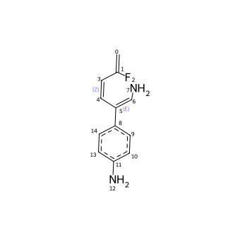 C=C(F)/C=C\C(=C/N)c1ccc(N)cc1